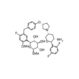 COc1cc(F)c(Cc2ccc(O[C@@H]3CCN([C@H]4CO[C@H](c5cc(F)ccc5F)[C@@H](N)C4)C3)cc2)cc1[C@@H]1O[C@H](SC)[C@@H](O)[C@H](O)[C@H]1O